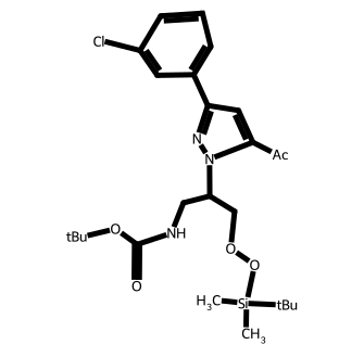 CC(=O)c1cc(-c2cccc(Cl)c2)nn1C(CNC(=O)OC(C)(C)C)COO[Si](C)(C)C(C)(C)C